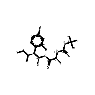 CCC(C)[C@@H](c1ccc(F)cc1C)[C@H](C)OC(=O)[C@H](C)NC(=O)OC(C)(C)C